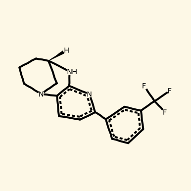 FC(F)(F)c1cccc(-c2ccc3c(n2)N[C@H]2CCCN3C2)c1